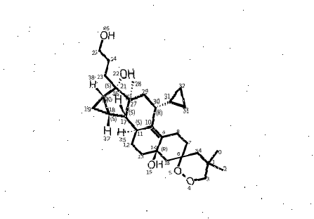 CC1(C)COOC2(CCC3=C4[C@@H](CC[C@@]3(O)C2)[C@@H]2[C@@H]3C[C@@H]3[C@@](O)(CCCO)[C@@]2(C)C[C@@H]4C2CC2)C1